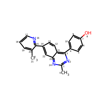 Cc1nc(-c2ccc(O)cc2)c2ccc(-c3ncccc3C(F)(F)F)cc2n1